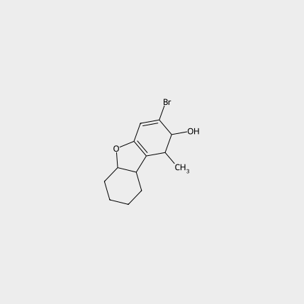 CC1C2=C(C=C(Br)C1O)OC1CCCCC21